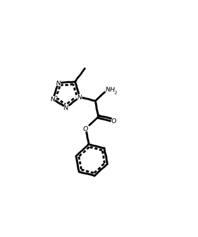 Cc1nnnn1C(N)C(=O)Oc1ccccc1